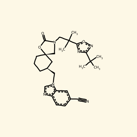 CC(C)(C)c1noc(C(C)(C)CN2C[C@@]3(CCC[C@H](Cn4cnc5ccc(C#N)cc54)C3)OC2=O)n1